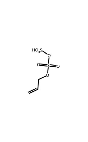 C=CCOS(=O)(=O)OS(=O)(=O)O